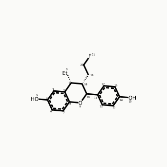 CC[C@H]1c2cc(O)ccc2OC(c2ccc(O)cc2)[C@H]1CCF